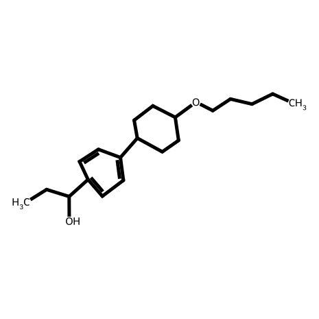 CCCCCOC1CCC(c2ccc(C(O)CC)cc2)CC1